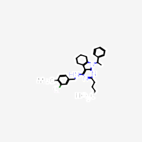 COc1ccc(CNc2nc(CCCC(=O)O)nc3c2c2c(n3C(C)c3ccccc3)CCCC2)cc1Cl